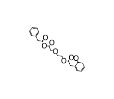 O=C(CC1=CC=CCC1=O)OCCOCC(=O)OC(=O)Cc1ccccc1